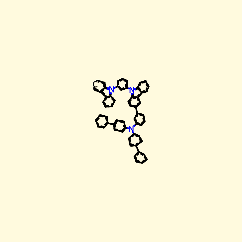 c1ccc(-c2ccc(N(c3ccc(-c4ccccc4)cc3)c3cccc(-c4ccc5c(c4)c4ccccc4n5-c4cccc(-n5c6ccccc6c6ccccc65)c4)c3)cc2)cc1